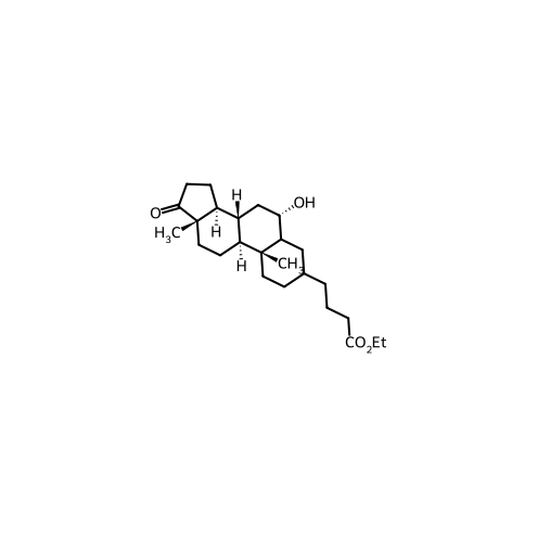 CCOC(=O)CCCC1CC[C@@]2(C)C(C1)[C@@H](O)C[C@@H]1[C@@H]2CC[C@]2(C)C(=O)CC[C@@H]12